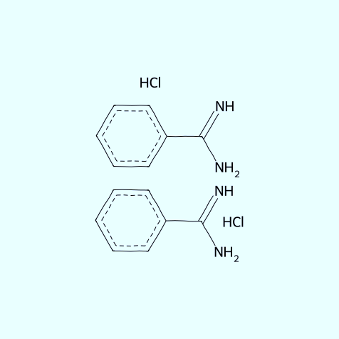 Cl.Cl.N=C(N)c1ccccc1.N=C(N)c1ccccc1